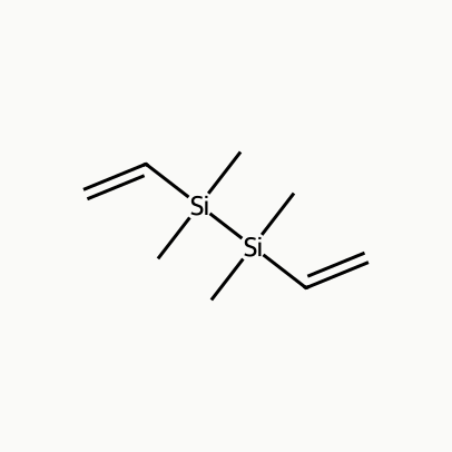 C=C[Si](C)(C)[Si](C)(C)C=C